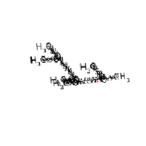 CCCCCCCOC(CCCCCCCCCCCC=CC(OCCCCC)OC(C=CCCCCCCCCCCCC(OCCCCCCC)OCCCCCCC)OCCCCC)OCCCCCCC